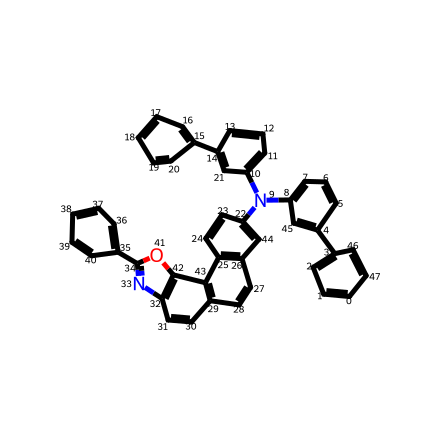 c1ccc(-c2cccc(N(c3cccc(-c4ccccc4)c3)c3ccc4c(ccc5ccc6nc(-c7ccccc7)oc6c54)c3)c2)cc1